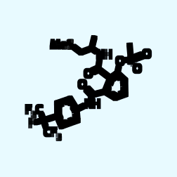 CSCC(C)NC(=O)c1c(OS(C)(=O)=O)cccc1C(=O)Nc1ccc(C(F)(C(F)(F)F)C(F)(F)F)cc1